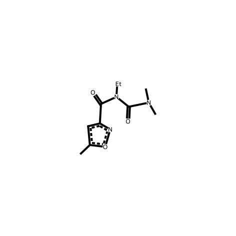 CCN(C(=O)c1cc(C)on1)C(=O)N(C)C